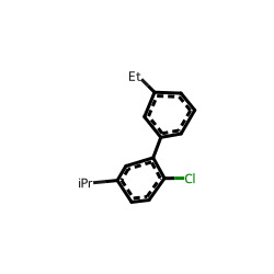 CCc1cccc(-c2cc(C(C)C)ccc2Cl)c1